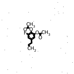 C=CCc1cc(F)c(OC(C)=O)c(OC(C)=O)c1